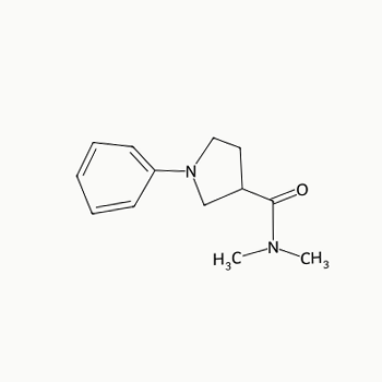 CN(C)C(=O)C1CCN(c2ccccc2)C1